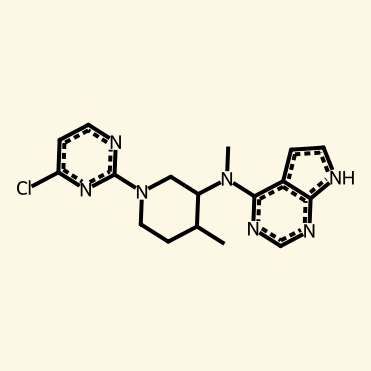 CC1CCN(c2nccc(Cl)n2)CC1N(C)c1ncnc2[nH]ccc12